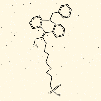 CSC(SCCCOCCCS(=O)(=O)O)=C1c2ccccc2N(Cc2ccccc2)c2ccccc21